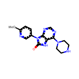 COc1ccc(-n2c(=O)[nH]c3c(N4CCNCC4)ncnc32)cn1